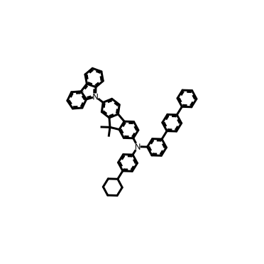 CC1(C)c2cc(N(c3ccc(C4CCCCC4)cc3)c3cccc(-c4ccc(-c5ccccc5)cc4)c3)ccc2-c2ccc(-n3c4ccccc4c4ccccc43)cc21